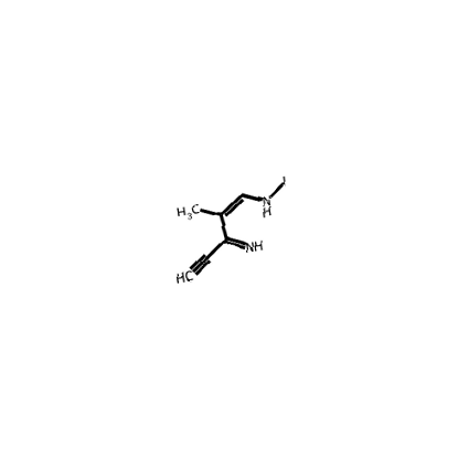 C#CC(=N)/C(C)=C\NI